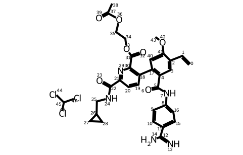 C=Cc1cc(C(=O)Nc2ccc(C(=N)N)cc2)c(-c2ccc(C(=O)NCC3CC3)nc2C(=O)OCCOC(C)=O)cc1OC.ClC(Cl)Cl